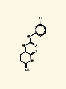 C=C1CCC(NC(=O)Nc2cccc(C)c2)C(=O)N1